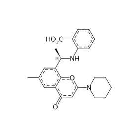 Cc1cc([C@@H](C)Nc2ccccc2C(=O)O)c2oc(N3CCCCC3)cc(=O)c2c1